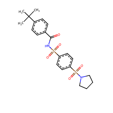 CC(C)(C)c1ccc(C(=O)NS(=O)(=O)c2ccc(S(=O)(=O)N3CCCC3)cc2)cc1